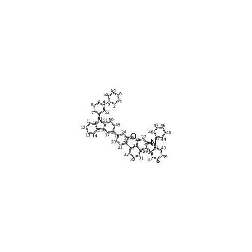 c1ccc(-c2cccc(-n3c4ccccc4c4cc(-c5ccc6c(c5)Oc5cc7c(c8cccc-6c58)c5ccccc5n7-c5ccccc5)ccc43)c2)cc1